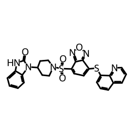 O=c1[nH]c2ccccc2n1C1CCN(S(=O)(=O)c2ccc(Sc3cccc4cccnc34)c3nonc23)CC1